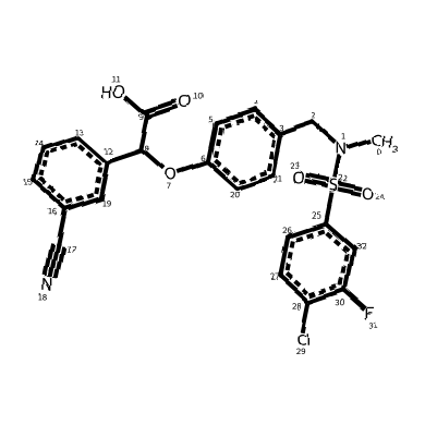 CN(Cc1ccc(OC(C(=O)O)c2cccc(C#N)c2)cc1)S(=O)(=O)c1ccc(Cl)c(F)c1